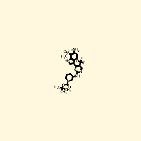 CC(C)(C)OC(=O)N1CCCC(Nc2ncc(C(F)(F)F)c(-c3c[nH]c4c(P(C)(C)=O)c(N)ccc34)n2)C1